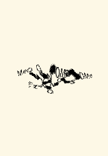 CCN1C(=O)N(COC2CSC(OC)CS2)C2C1N(COC)C(=O)N2COC